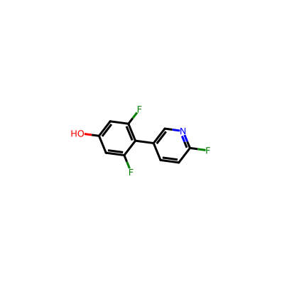 Oc1cc(F)c(-c2ccc(F)nc2)c(F)c1